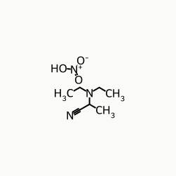 CCN(CC)C(C)C#N.O=[N+]([O-])O